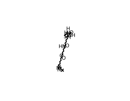 CC(C)(C)C1CN(CCCCCC(=O)OCCCCCNC(=O)CCCC[C@H]2SC[C@@H]3NC(=O)N[C@@H]32)N=N1